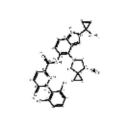 CC1(n2cc3c(N4C[C@H](N)C5(CC5)C4)c(NC(=O)c4ccc(=O)n(-c5c(F)cccc5F)n4)ccc3n2)CC1